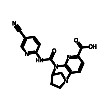 N#Cc1ccc(NC(=O)N2c3nc(C(=O)O)ccc3N3CCC2C3)nc1